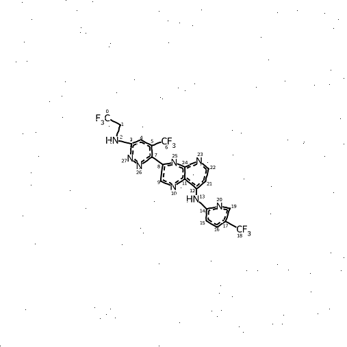 FC(F)(F)CNc1cc(C(F)(F)F)c(-c2cnc3c(Nc4ccc(C(F)(F)F)cn4)ccnc3n2)nn1